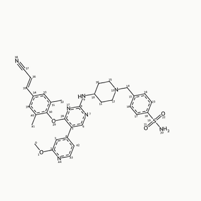 COc1cc(-c2cnc(NC3CCN(Cc4ccc(S(N)(=O)=O)cc4)CC3)nc2Oc2c(C)cc(C=CC#N)cc2C)ccn1